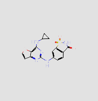 O=C1NS(=O)(=O)c2cc(Nc3nc(NC4CC4)c4occc4n3)ccc21